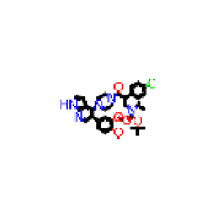 COc1ccc(-c2cnc3[nH]ccc3c2N2CCN(C(=O)C(CN(C(=O)OC(C)(C)C)C(C)C)c3ccc(Cl)cc3)CC2)cc1OC